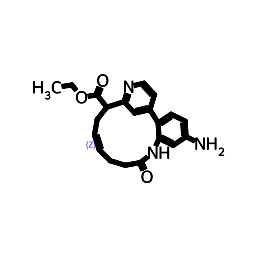 CCOC(=O)C1C/C=C\CCC(=O)Nc2cc(N)ccc2-c2ccnc1c2